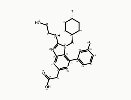 C[C@H]1CC[C@H](Cn2c(NCCO)nc3nc(CC(=O)O)nc(-c4cccc(Cl)c4)c32)CC1